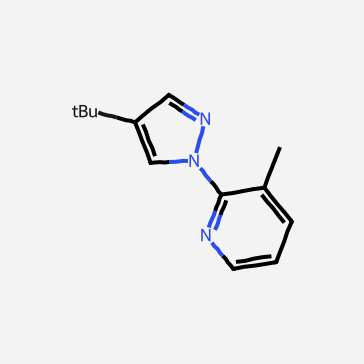 Cc1cccnc1-n1cc(C(C)(C)C)cn1